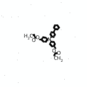 C=CC(=O)OCc1ccc(N(c2ccc(COC(=O)C=C)cc2)c2ccc(-c3ccccc3)cc2)cc1